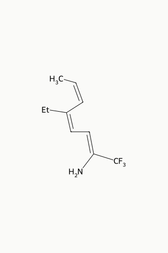 C\C=C/C(=C\C=C(/N)C(F)(F)F)CC